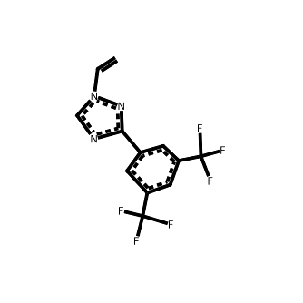 C=Cn1cnc(-c2cc(C(F)(F)F)cc(C(F)(F)F)c2)n1